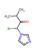 CC(C)C(=O)C(Br)n1ccnc1